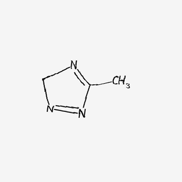 CC1=NCN=N1